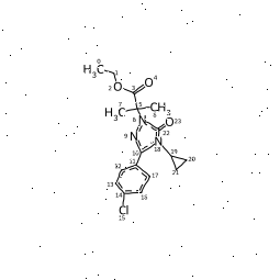 CCOC(=O)C(C)(C)n1nc(-c2ccc(Cl)cc2)n(C2CC2)c1=O